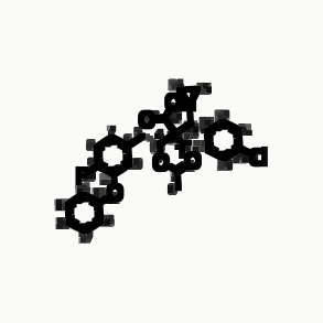 CC(=O)O[C@H](Cc1ccc(F)c(Oc2ccccc2)c1)[C@@](F)(C(=O)O)[C@@H](c1ccc(Cl)cc1)C1CC1